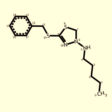 CCCCCNN1CSC(SCc2ccccc2)=N1